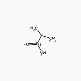 CC(C)[PH](=O)O